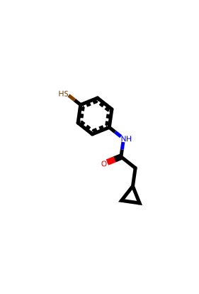 O=C(CC1CC1)Nc1ccc(S)cc1